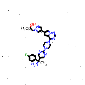 C[C@@H](O)Cn1cc(-c2cc3c(N4CCN(c5ncc([C@@](C)(N)c6ccc(F)cc6)cn5)CC4)ncnn3c2)cn1